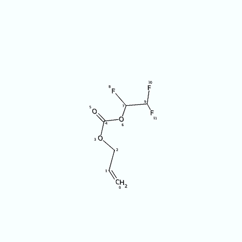 C=CCOC(=O)OC(F)C(F)F